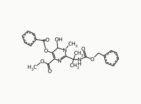 COC(=O)C1=C(OC(=O)c2ccccc2)C(O)N(C)C(C(C)(C)NC(=O)OCc2ccccc2)=N1